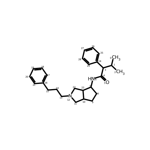 CC(C)C(C(=O)NC1CCC2CN(CCCc3ccccc3)CC21)c1ccccc1